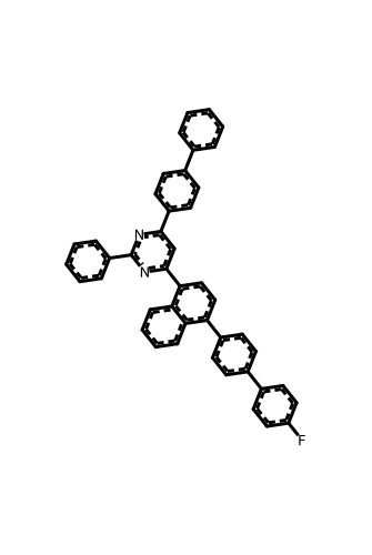 Fc1ccc(-c2ccc(-c3ccc(-c4cc(-c5ccc(-c6ccccc6)cc5)nc(-c5ccccc5)n4)c4ccccc34)cc2)cc1